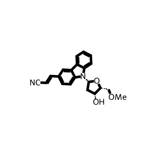 COC[C@H]1O[C@@H](n2c3ccccc3c3cc(/C=C/C#N)ccc32)C[C@H]1O